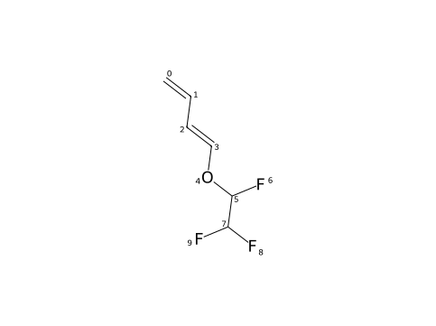 C=CC=COC(F)C(F)F